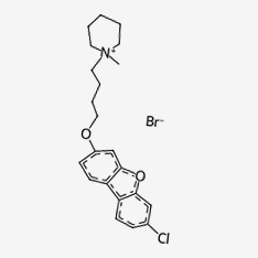 C[N+]1(CCCCOc2ccc3c(c2)oc2cc(Cl)ccc23)CCCCC1.[Br-]